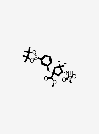 COC(=O)[C@]1(Cc2cccc(B3OC(C)(C)C(C)(C)O3)c2)C[C@@H](NS(C)(=O)=O)C(F)(F)C1